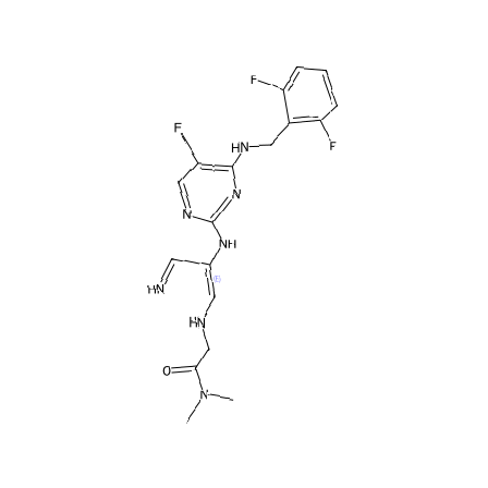 CN(C)C(=O)CN/C=C(\C=N)Nc1ncc(F)c(NCc2c(F)cccc2F)n1